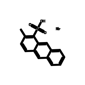 Cc1ccc2cc3ccccc3cc2c1S(=O)(=O)O.[Rb]